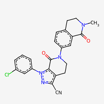 CN1CCc2ccc(N3CCc4c(C#N)nn(-c5cccc(Cl)c5)c4C3=O)cc2C1=O